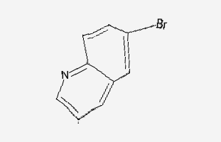 Brc1ccc2nc[c]cc2c1